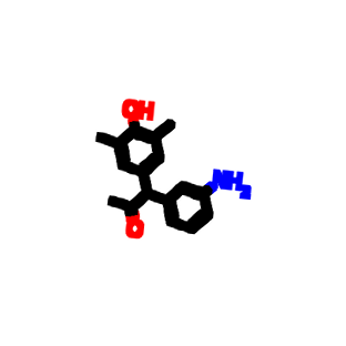 CC(=O)C(c1cccc(N)c1)c1cc(C)c(O)c(C)c1